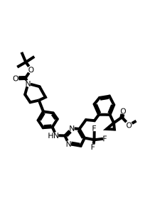 COC(=O)C1(c2ccccc2CCc2nc(Nc3ccc(C4CCN(C(=O)OC(C)(C)C)CC4)cc3)ncc2C(F)(F)F)CC1